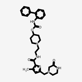 Cc1cc(CN2CCNC(=O)C2)sc1C(=O)NCCN1CCC(OC(=O)Nc2ccccc2-c2ccccc2)CC1